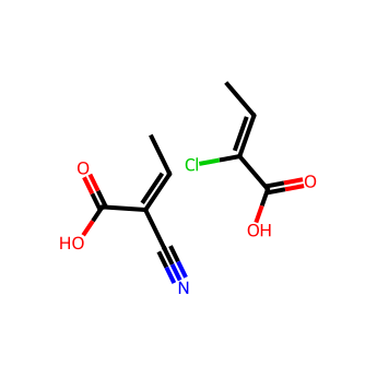 CC=C(C#N)C(=O)O.CC=C(Cl)C(=O)O